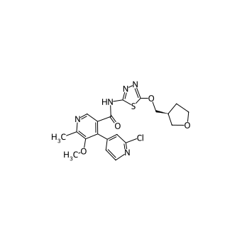 COc1c(C)ncc(C(=O)Nc2nnc(OC[C@H]3CCOC3)s2)c1-c1ccnc(Cl)c1